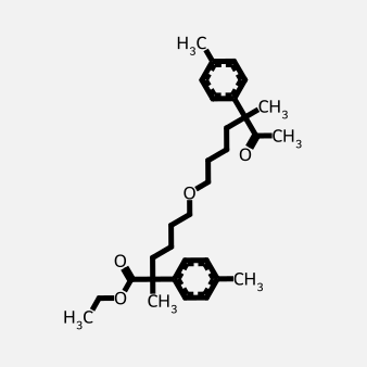 CCOC(=O)C(C)(CCCCOCCCCC(C)(C(C)=O)c1ccc(C)cc1)c1ccc(C)cc1